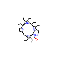 CCC1=C(CC)C2=C(NC=O)C3=NC(=C(CC)C4=NC(=C(CC)C5=NC(=CC1=N2)C=C5)C(CC)=C4CC)C(CC)=C3CC